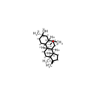 C=C1CC[C@H]2[C@@H]3CC[C@H]4C[C@](C)(O)CC[C@]4(COC)[C@H]3CC[C@]12C